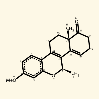 COc1ccc2c(c1)O[C@H](C)C1=C2CC[C@]2(C)C(=O)CCC=C12